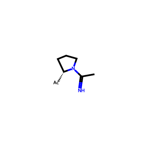 CC(=N)N1CCC[C@H]1C(C)=O